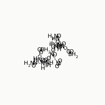 BC(=O)OCc1ccc(NC(=O)[C@H](CCCNC(N)=O)NC(=O)C(NC(=O)COCCN(CCOCC(=O)NC(C(=O)N[C@@H](CCCNC(N)=O)C(=O)Nc2ccc(COC(B)=O)cc2)C(C)C)C(=O)CCCCCN2C(=O)C=CC2=O)C(C)C)cc1